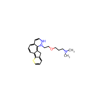 CN(C)CCCOCCN1NC=CC2=CC=CC3=C4SC=CC=C4CC3=C21